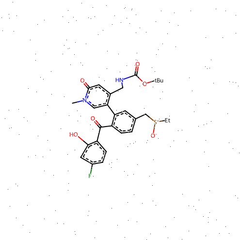 CC[S+]([O-])Cc1ccc(C(=O)c2ccc(F)cc2O)c(-c2cn(C)c(=O)cc2CNC(=O)OC(C)(C)C)c1